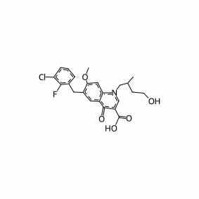 COc1cc2c(cc1Cc1cccc(Cl)c1F)c(=O)c(C(=O)O)cn2CC(C)CCO